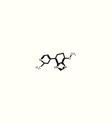 COC1=c2nc[nH]c2=C(C2=CC=NC(C)C2)CC1